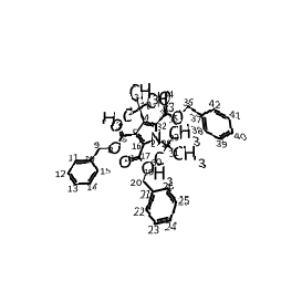 CC(C)(C)c1c(C(=O)OCc2ccccc2)c(C(=O)OCc2ccccc2)n(C(C)(C)C)c1C(=O)OCc1ccccc1